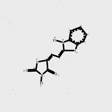 CCN1C(=O)C(=CC=C2Sc3ccccc3N2CC)OC1=S